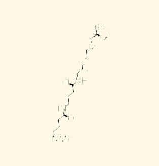 CNCCCC(=O)NCCCC(=O)NCCOCCOCC(=O)C(C)(C)C